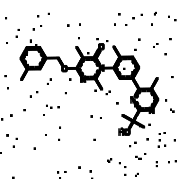 Cc1cccc(COc2nc(C)n(-c3cc(-c4nc(C(C)(C)O)ncc4C)ccc3C)c(=O)c2C)c1